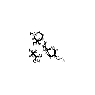 Cc1cnc(NC[C@H]2CCNCC2(F)F)nc1.O=C(O)C(F)(F)F